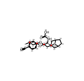 COCCOCCN1CC2CCC(C1)N2C[C@@H](COc1ccc(C#N)cc1)NC(=O)O